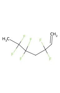 C=CC(F)(F)CC(F)(F)C(C)(F)F